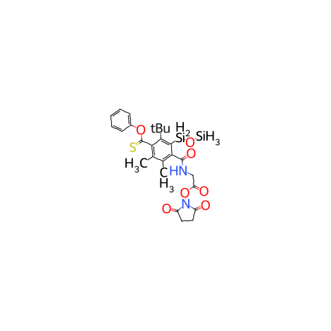 Cc1c(C)c(C(=S)Oc2ccccc2)c(C(C)(C)C)c([SiH2]O[SiH3])c1C(=O)NCC(=O)ON1C(=O)CCC1=O